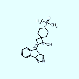 CP(C)(=O)N1CCC2(CC1)C[C@H]([C@@H]1c3ccccc3-c3cncn31)[C@@H]2O